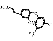 CCOC(=O)/C=C/c1ccc(Oc2cc(C(F)(F)F)cc(C(F)(F)F)c2)c(OC)c1